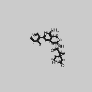 Cc1ccncc1-c1cc2cc(NC(=O)C3C[C@@]34CCNC(=O)C4)ncc2c(N)n1